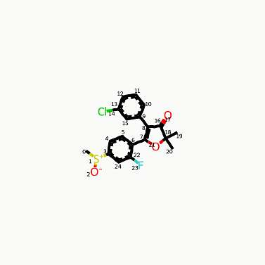 C[S+]([O-])c1ccc(C2=C(c3cccc(Cl)c3)C(=O)C(C)(C)O2)c(F)c1